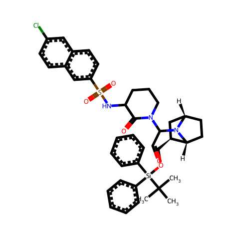 CC(C)(C)[Si](OC[C@H]1C[C@@H]2CC[C@H]1N2C(C=O)N1CCCC(NS(=O)(=O)c2ccc3cc(Cl)ccc3c2)C1=O)(c1ccccc1)c1ccccc1